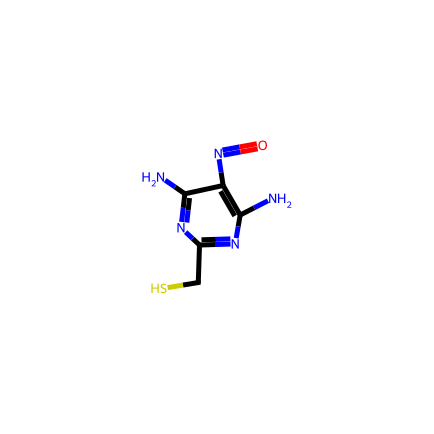 Nc1nc(CS)nc(N)c1N=O